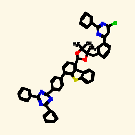 CC1(C)OB(c2ccc(-c3ccc(-c4nc(-c5ccccc5)nc(-c5ccccc5)n4)cc3)c3sc4ccccc4c23)OC1(C)Cc1cccc(-c2cc(Cl)nc(-c3ccccc3)n2)c1